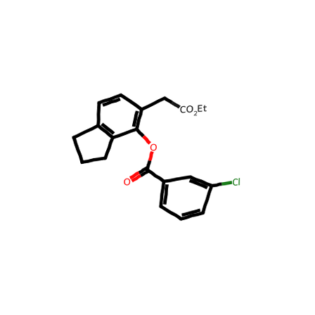 CCOC(=O)Cc1ccc2c(c1OC(=O)c1cccc(Cl)c1)CCC2